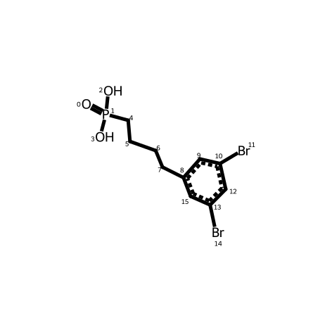 O=P(O)(O)CCCCc1cc(Br)cc(Br)c1